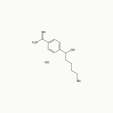 CCC(C)CCCCC(O)c1ccc(C(=N)N)cc1.Cl